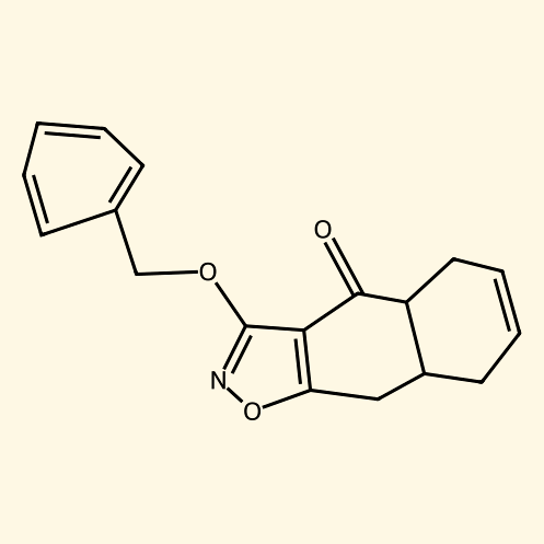 O=C1c2c(OCc3ccccc3)noc2CC2CC=CCC12